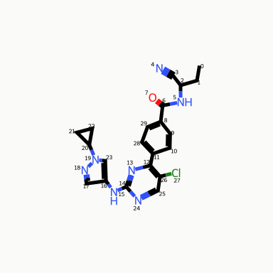 CCC(C#N)NC(=O)c1ccc(-c2nc(Nc3cnn(C4CC4)c3)ncc2Cl)cc1